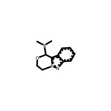 CN(C)C1OCCn2nc3ccccc3c21